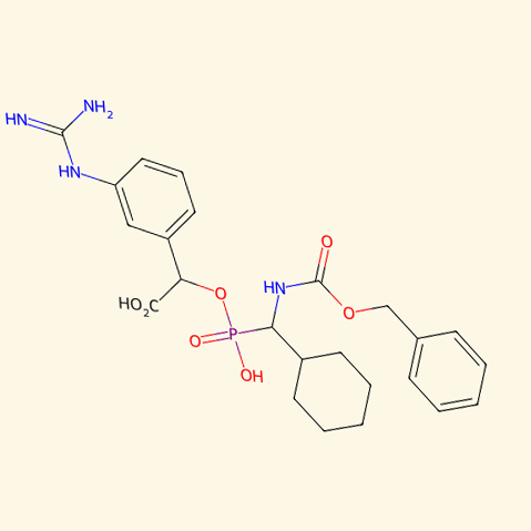 N=C(N)Nc1cccc(C(OP(=O)(O)C(NC(=O)OCc2ccccc2)C2CCCCC2)C(=O)O)c1